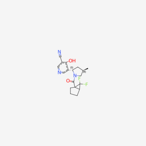 C[C@@H]1C[C@@H](c2cncc(C#N)c2O)N(C(=O)C23CCCC2C3(F)F)C1